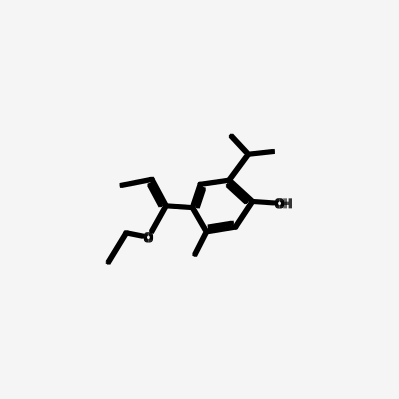 C/C=C(\OCC)c1cc(C(C)C)c(O)cc1C